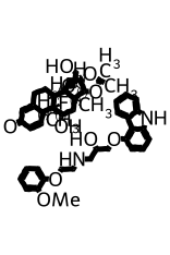 CC1(C)O[C@@H]2C[C@H]3[C@@H]4CCC5=CC(=O)C=C[C@]5(C)[C@@]4(F)[C@@H](O)C[C@]3(C)[C@]2(C(=O)CO)O1.COc1ccccc1OCCNCC(O)COc1cccc2[nH]c3ccccc3c12